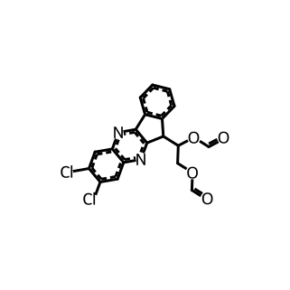 O=COCC(OC=O)C1c2ccccc2-c2nc3cc(Cl)c(Cl)cc3nc21